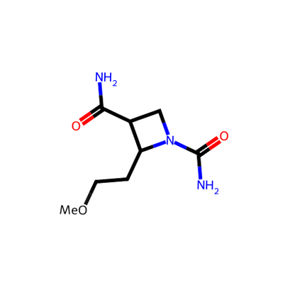 COCCC1C(C(N)=O)CN1C(N)=O